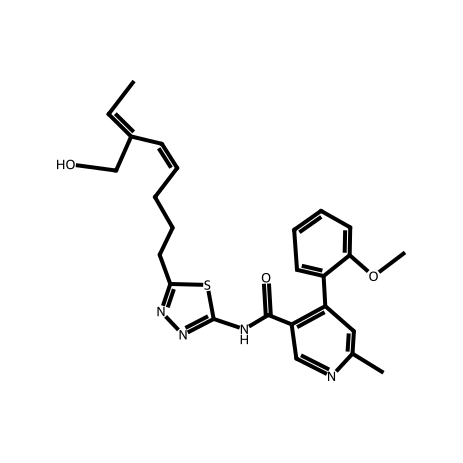 C/C=C(\C=C/CCCc1nnc(NC(=O)c2cnc(C)cc2-c2ccccc2OC)s1)CO